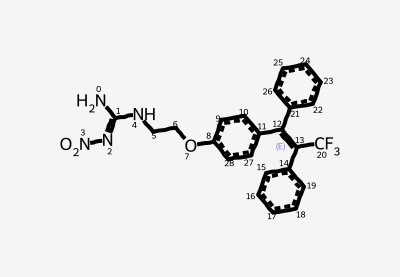 NC(=N[N+](=O)[O-])NCCOc1ccc(/C(=C(\c2ccccc2)C(F)(F)F)c2ccccc2)cc1